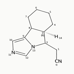 N#CCC1[C@@H]2CCCCC2c2cncn21